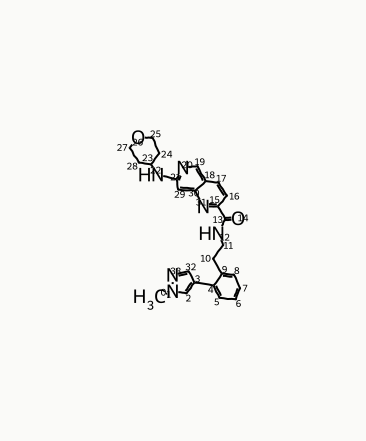 Cn1cc(-c2ccccc2CCNC(=O)c2ccc3cnc(NC4CCOCC4)cc3n2)cn1